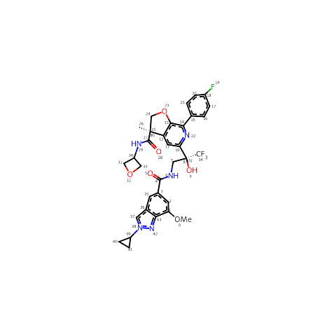 COc1cc(C(=O)NC[C@](O)(c2cc3c(c(-c4ccc(F)cc4)n2)OC[C@]3(C)C(=O)NC2COC2)C(F)(F)F)cc2cn(C3CC3)nc12